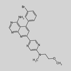 COCCN(C)c1cnc(-c2cc(-c3cccc(Br)c3)c3c(N)ncnc3n2)cn1